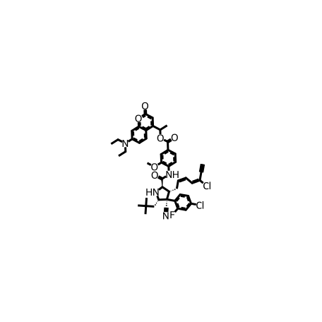 C#C/C(Cl)=C\C=C/C[C@H]1[C@H](C(=O)Nc2ccc(C(=O)OC(C)c3cc(=O)oc4cc(N(CC)CC)ccc34)cc2OC)N[C@@H](CC(C)(C)C)[C@]1(C#N)c1ccc(Cl)cc1F